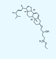 CCO[SiH2]CCC(O)CO[C@H]1CC[C@@]2(C)C(=CC=C3[C@@H]4CC[C@H]([C@H](C)/C=C/[C@H](C)C(C)C)[C@@]4(C)CC[C@@H]32)C1